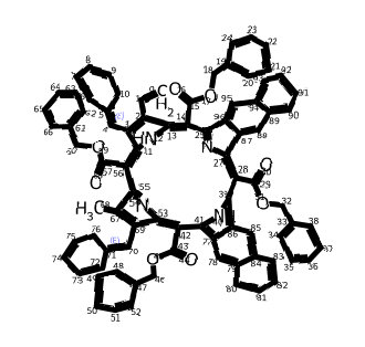 C=Cc1c(/C=C2/C=CC=CC2)c2[nH]c1c(C(=O)OCc1ccccc1)c1nc(c(C(=O)OCc3ccccc3)c3[nH]c(c(C(=O)OCc4ccccc4)c4nc(c2C(=O)OCc2ccccc2)C(C)=C4/C=C2/C=CC=CC2)c2cc4ccccc4cc32)-c2cc3ccccc3cc2-1